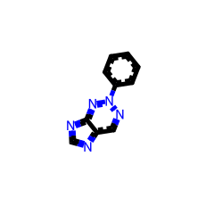 c1ccc(-n2ncc3ncnc-3n2)cc1